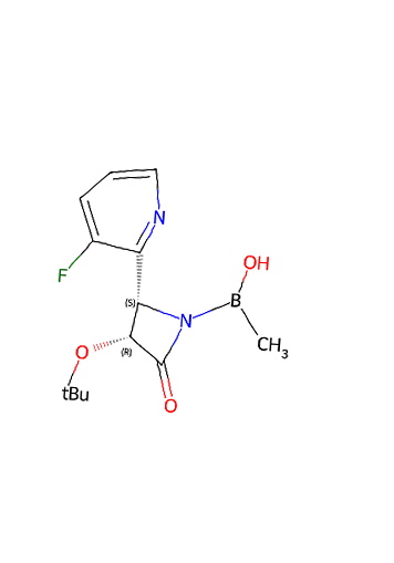 CB(O)N1C(=O)[C@H](OC(C)(C)C)[C@@H]1c1ncccc1F